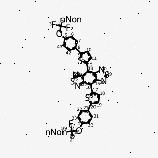 CCCCCCCCCC(F)(F)Oc1ccc(-c2ccc(-c3c4c(c(-c5ccc(-c6ccc(OC(F)(F)CCCCCCCCC)cc6)s5)c5nsnc35)N=S=N4)s2)cc1